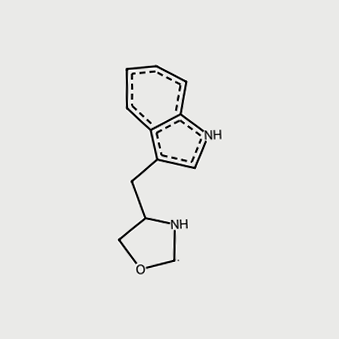 [CH]1NC(Cc2c[nH]c3ccccc23)CO1